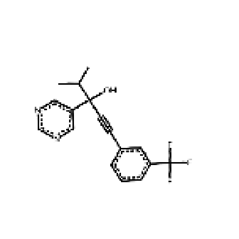 CC(C)C(O)(C#Cc1cccc(C(F)(F)F)c1)c1cncnc1